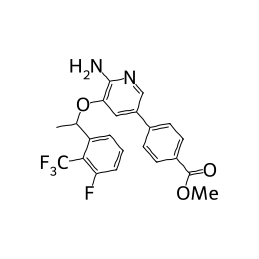 COC(=O)c1ccc(-c2cnc(N)c(OC(C)c3cccc(F)c3C(F)(F)F)c2)cc1